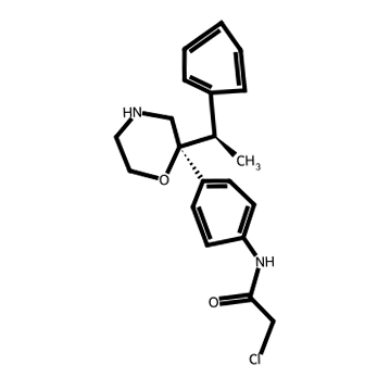 C[C@H](c1ccccc1)[C@]1(c2ccc(NC(=O)CCl)cc2)CNCCO1